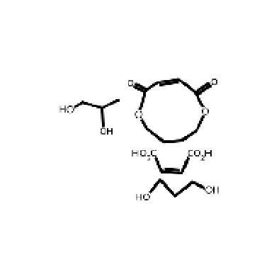 CC(O)CO.O=C(O)/C=C\C(=O)O.O=C1/C=C\C(=O)OCCCCO1.OCCCO